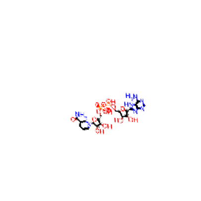 NC(=O)C1=CN([C@@H]2O[C@H](COP(=O)(O)OP(=O)(O)OC[C@H]3O[C@@H](c4nc5ncnc(N)c5[nH]4)[C@H](O)[C@@H]3O)[C@@H](O)[C@H]2O)C=CC1